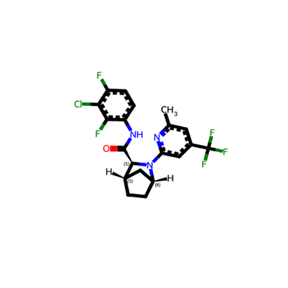 Cc1cc(C(F)(F)F)cc(N2[C@@H]3CC[C@@H](C3)[C@H]2C(=O)Nc2ccc(F)c(Cl)c2F)n1